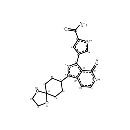 NC(=O)c1cc(-c2nn(C3CCC4(CC3)OCCO4)c3cc[nH]c(=O)c23)cs1